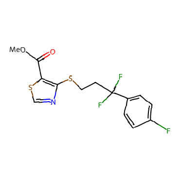 COC(=O)c1scnc1SCCC(F)(F)c1ccc(F)cc1